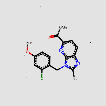 CCCOc1ccc(Cn2c(CC)nc3ccc(C(=O)OC)nc32)c(Cl)c1